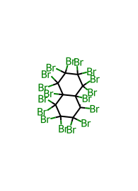 Br[C]1C(Br)(Br)C(Br)(Br)C(Br)(Br)C2(Br)C(Br)(Br)C(Br)(Br)C(Br)(Br)C(Br)(Br)C12Br